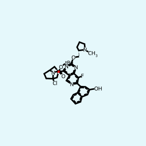 CN1CCC[C@H]1COc1nc(N2CC3CCC(Cl)(C2)N3C(=O)OC(C)(C)C)c2cnc(-c3cc(O)cc4ccccc34)c(F)c2n1